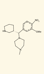 COc1cc(C([C@H]2CCCNC2)N2CCN(C)CC2)ccc1[N+](=O)[O-]